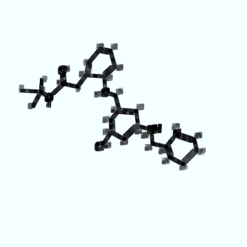 CC(C)(C)OC(=O)Cc1ccccc1OCc1cc(Cl)cc(NCc2ccccn2)c1